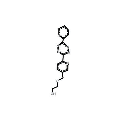 OCCOCc1ccc(-c2nnc(-c3ccccn3)nn2)nc1